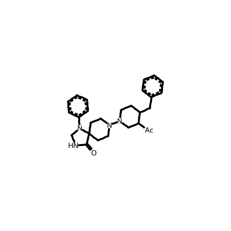 CC(=O)C1CN(N2CCC3(CC2)C(=O)NCN3c2ccccc2)CCC1Cc1ccccc1